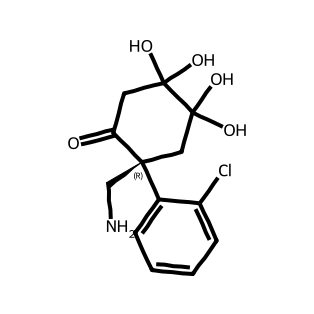 NC[C@]1(c2ccccc2Cl)CC(O)(O)C(O)(O)CC1=O